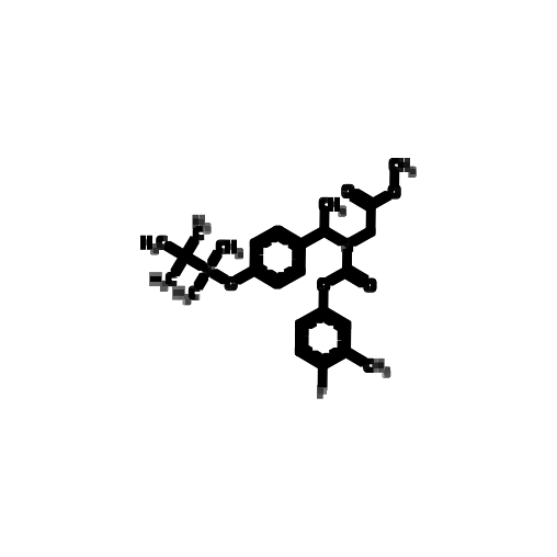 COC(=O)CN(C(=O)Oc1ccc(F)c(C)c1)C(C)c1ccc(O[Si](C)(C)C(C)(C)C)cc1